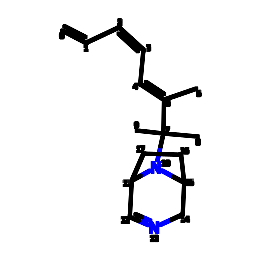 C=C/C=C\C=C(/C)C(C)(C)N1C2C=NCC1CC2